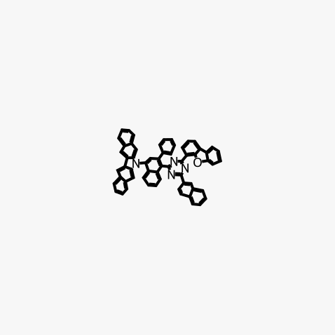 c1ccc(-c2cc(-n3c4cc5ccccc5cc4c4cc5ccccc5cc43)c3ccccc3c2-c2nc(-c3ccc4ccccc4c3)nc(-c3cccc4c3oc3ccccc34)n2)cc1